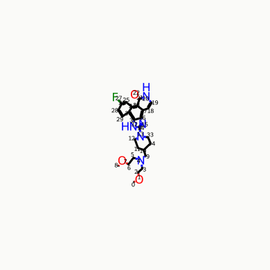 COCCN(CCOC)CC1CCN(c2nc3c4cc[nH]c(=O)c4c4cc(F)ccc4c3[nH]2)CC1